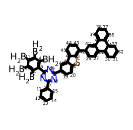 Bc1c(B)c(B)c(-c2nc(-c3ccccc3)nc(-c3ccc4sc5c(-c6ccc7c8ccccc8c8ccccc8c7c6)cccc5c4c3)n2)c(B)c1B